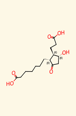 O=C(O)CCCCCC[C@H]1C(=O)C[C@@H](O)[C@@H]1CCC(=O)O